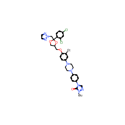 CCc1cc(N2CCN(c3ccc(-n4cnn(C(C)CC)c4=O)cc3)CC2)ccc1OCC1COC(Cn2nccn2)(c2ccc(Cl)cc2Cl)O1